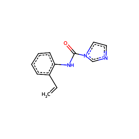 C=Cc1ccccc1NC(=O)n1ccnc1